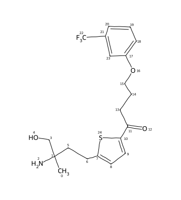 CC(N)(CO)CCc1ccc(C(=O)CCCOc2cccc(C(F)(F)F)c2)s1